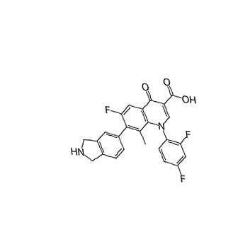 Cc1c(-c2ccc3c(c2)CNC3)c(F)cc2c(=O)c(C(=O)O)cn(-c3ccc(F)cc3F)c12